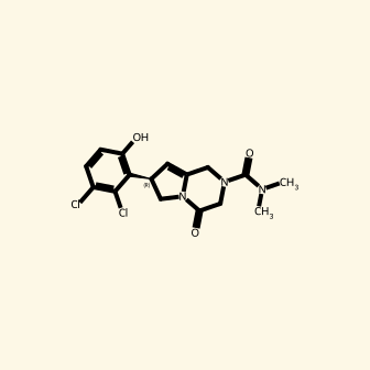 CN(C)C(=O)N1CC(=O)N2C[C@@H](c3c(O)ccc(Cl)c3Cl)C=C2C1